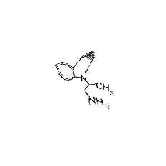 CC(CN)N1CCc2ccccc21